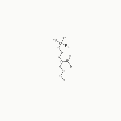 CCCCC(CCCC(F)(F)F)C(C)C